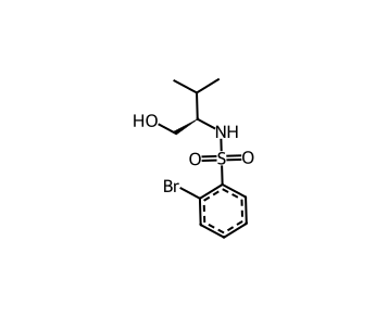 CC(C)[C@H](CO)NS(=O)(=O)c1ccccc1Br